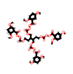 COc1ccc(OC)c(C(=O)OOC(=O)OCCC(COC(=O)OOC(=O)c2cc(OC)ccc2OC)C(CCOC(=O)OOC(=O)c2cc(OC)ccc2OC)COC(=O)OOC(=O)c2cc(OC)ccc2OC)c1